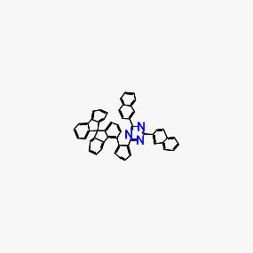 c1ccc(-c2cccc3c2-c2ccccc2C32c3ccccc3-c3ccccc32)c(-c2nc(-c3ccc4ccccc4c3)nc(-c3ccc4ccccc4c3)n2)c1